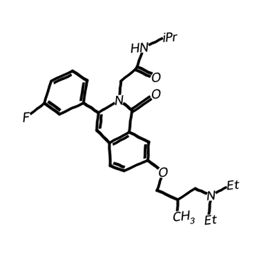 CCN(CC)CC(C)COc1ccc2cc(-c3cccc(F)c3)n(CC(=O)NC(C)C)c(=O)c2c1